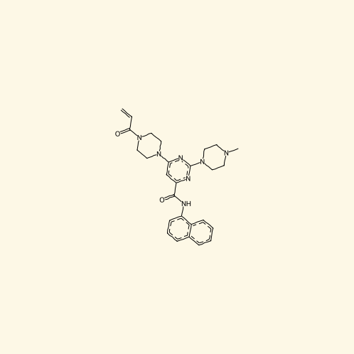 C=CC(=O)N1CCN(c2cc(C(=O)Nc3cccc4ccccc34)nc(N3CCN(C)CC3)n2)CC1